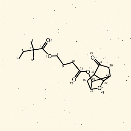 CCC(C)(C)C(=O)OCCCC(=O)OC1C2CC3C(=O)CC1C3O2